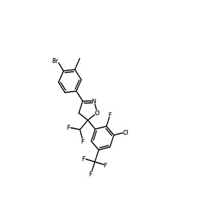 Cc1cc(C2=NOC(c3cc(C(F)(F)F)cc(Cl)c3F)(C(F)F)C2)ccc1Br